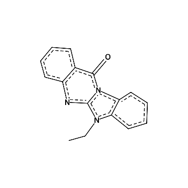 CCn1c2ccccc2n2c(=O)c3ccccc3nc12